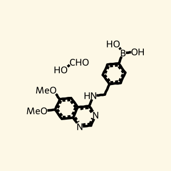 COc1cc2ncnc(NCc3ccc(B(O)O)cc3)c2cc1OC.O=CO